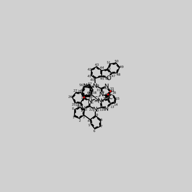 c1ccc(-c2ccccc2N2c3nc4ccccc4n3[Si]3(n4c2nc2ccccc24)n2c(nc4ccccc42)N(c2cccc4c2oc2ccccc24)c2nc4ccccc4n23)cc1